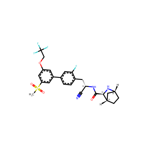 CS(=O)(=O)c1cc(OCC(F)(F)F)cc(-c2ccc(C[C@@H](C#N)NC(=O)[C@H]3N[C@@H]4CC[C@H]3C4)c(F)c2)c1